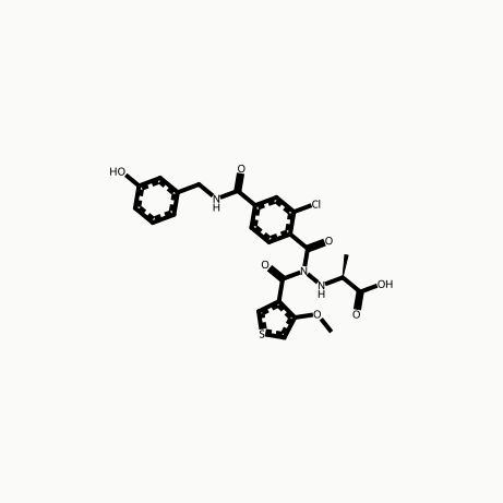 COc1cscc1C(=O)N(N[C@@H](C)C(=O)O)C(=O)c1ccc(C(=O)NCc2cccc(O)c2)cc1Cl